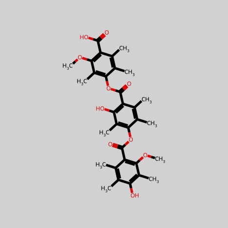 COc1c(C)c(O)c(C)c(C)c1C(=O)Oc1c(C)c(C)c(C(=O)Oc2c(C)c(C)c(C(=O)O)c(OC)c2C)c(O)c1C